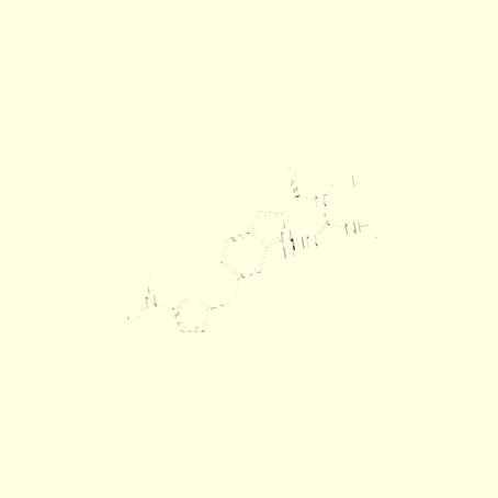 CN(C(=N)N)C(=O)c1cc2ccc(Oc3ccc([N+](=O)[O-])s3)cc2[nH]1